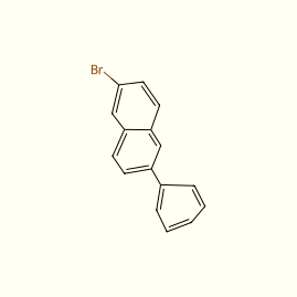 Brc1ccc2cc(-c3ccccc3)ccc2c1